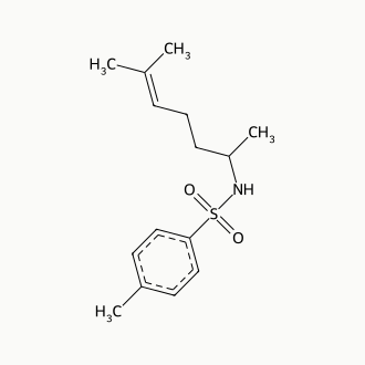 CC(C)=CCCC(C)NS(=O)(=O)c1ccc(C)cc1